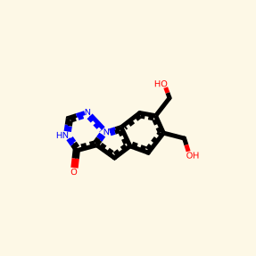 O=c1[nH]cnn2c1cc1cc(CO)c(CO)cc12